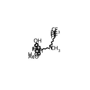 CC(=O)O[C@H]1CC[C@H]2[C@@H]3[C@H](CCCCCN(C)CCCCCCC(F)(F)C(F)(F)C(F)(F)C(F)(F)F)Cc4cc(O)ccc4[C@H]3[C@@H](F)C[C@]12C